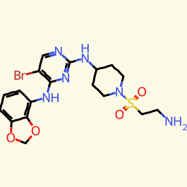 NCCS(=O)(=O)N1CCC(Nc2ncc(Br)c(Nc3cccc4c3OCO4)n2)CC1